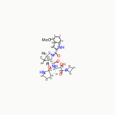 COc1cccc2[nH]c(C(=O)N3C[C@H]4[C@@H]([C@H]3C(=O)N[C@@H](C[C@@H]3CCCNC3=O)C(O)C(=O)N3CCC3)C4(C)C)cc12